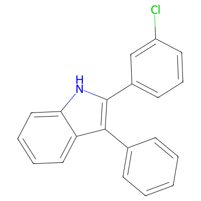 Clc1cccc(-c2[nH]c3ccccc3c2-c2ccccc2)c1